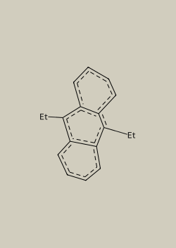 CCc1c2ccccc2c(CC)c2ccccc12